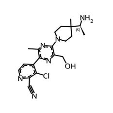 Cc1nc(N2CCC(C)([C@H](C)N)CC2)c(CO)nc1-c1ccnc(C#N)c1Cl